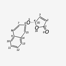 O=C1C=C[C@@H](Oc2ccc3ccccc3c2)O1